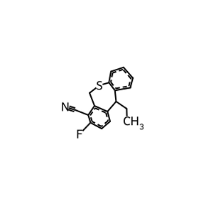 CCC1c2ccccc2SCc2c1ccc(F)c2C#N